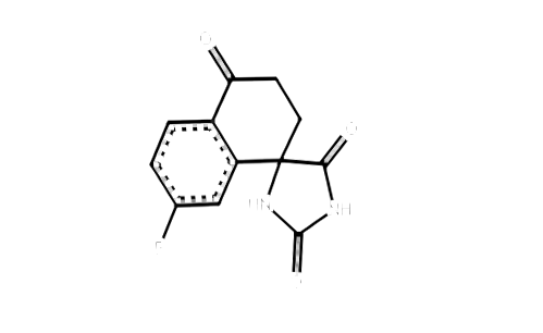 O=C1NC(=O)C2(CCC(=O)c3ccc(F)cc32)N1